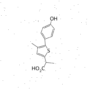 Cc1cc(C(C)C(=O)O)sc1-c1ccc(O)cc1